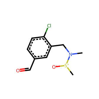 CN(Cc1cc(C=O)ccc1Cl)[S+](C)[O-]